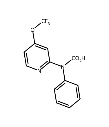 O=C(O)N(c1ccccc1)c1cc(OC(F)(F)F)ccn1